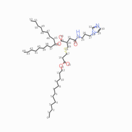 CCCCCCCCCCCCCOC(=O)CCSCC(CC(=O)NCCCn1ccnc1)C(=O)OC(CCCCCCCC)CCCCCCCC